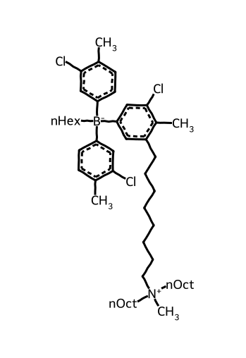 CCCCCCCC[N+](C)(CCCCCCCC)CCCCCCCCc1cc([B-](CCCCCC)(c2ccc(C)c(Cl)c2)c2ccc(C)c(Cl)c2)cc(Cl)c1C